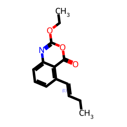 CC/C=C/c1cccc2nc(OCC)oc(=O)c12